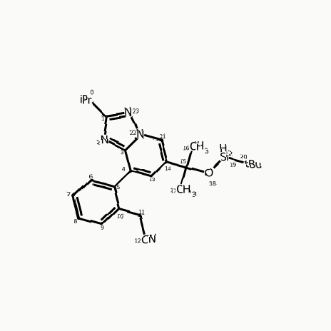 CC(C)c1nc2c(-c3ccccc3CC#N)cc(C(C)(C)O[SiH2]C(C)(C)C)cn2n1